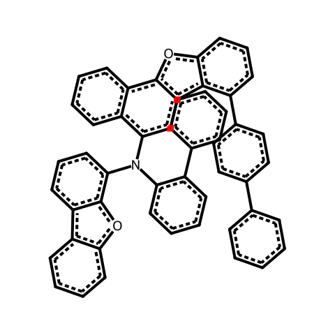 c1ccc(-c2ccc(-c3cccc4oc5c6ccccc6c(N(c6ccccc6-c6ccccc6)c6cccc7c6oc6ccccc67)cc5c34)cc2)cc1